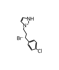 Clc1ccc(CCC[n+]2cc[nH]c2)cc1.[Br-]